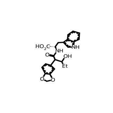 CCC(O)C(C(=O)N[C@@H](Cc1c[nH]c2ccccc12)C(=O)O)c1ccc2c(c1)OCO2